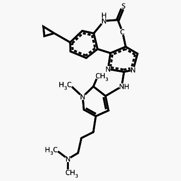 CC1C(Nc2ncc3c(n2)-c2ccc(C4CC4)cc2NC(=S)C3)=CC(CCCN(C)C)=CN1C